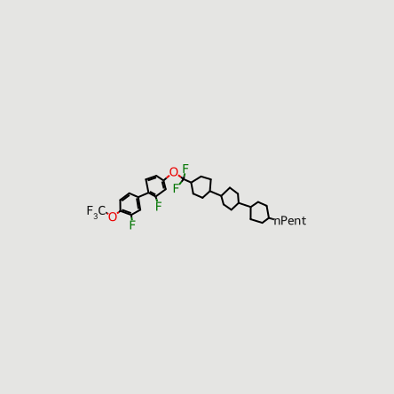 CCCCCC1CCC(C2CCC(C3CCC(C(F)(F)Oc4ccc(-c5ccc(OC(F)(F)F)c(F)c5)c(F)c4)CC3)CC2)CC1